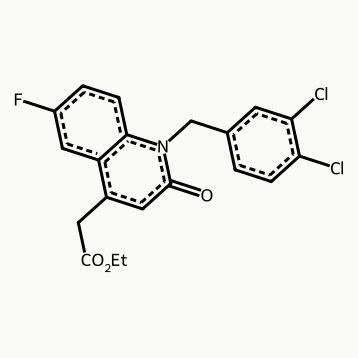 CCOC(=O)Cc1cc(=O)n(Cc2ccc(Cl)c(Cl)c2)c2ccc(F)cc12